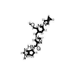 COCc1nc(N2CC3(CC3)C2)ccc1Cn1cnc(C(=O)N[C@@H]2CCc3c2ncn3C)c1